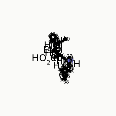 C=CCNC(=O)C(NC(=O)C(CC)NC(=O)C(CCCN/C(=N\C)NS(=O)(=O)c1c(C)c(C)c2c(c1C)CC(C)(C)O2)NC(=O)O)c1ccccc1